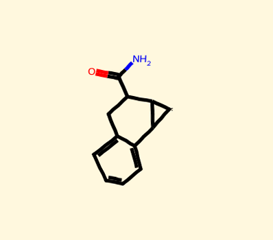 NC(=O)C1Cc2ccccc2C2[C]C12